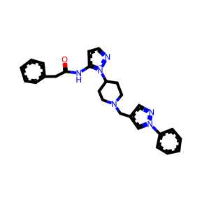 O=C(Cc1ccccc1)Nc1ccnn1C1CCN(Cc2cnn(-c3ccccc3)c2)CC1